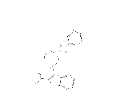 NC(=O)c1sc2ccccc2c1[C@@H]1CN(S(=O)(=O)c2cccc(F)c2)CCO1